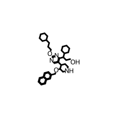 OCCC(c1nc(OCCCC2CCCCC2)ncc1C1CCNCC1OCc1ccc2ccccc2c1)C1CCCCC1